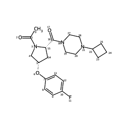 CC(=O)N1C[C@@H](Oc2ccc(F)cc2)C[C@H]1C(=O)N1CCN(C2CCC2)CC1